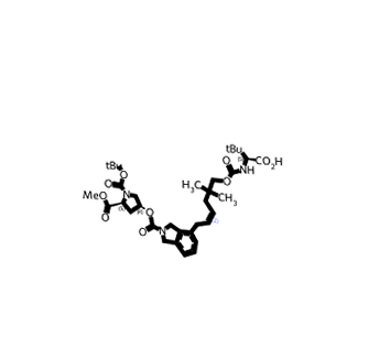 COC(=O)[C@@H]1C[C@@H](OC(=O)N2Cc3cccc(C/C=C\CC(C)(C)COC(=O)N[C@H](C(=O)O)C(C)(C)C)c3C2)CN1C(=O)OC(C)(C)C